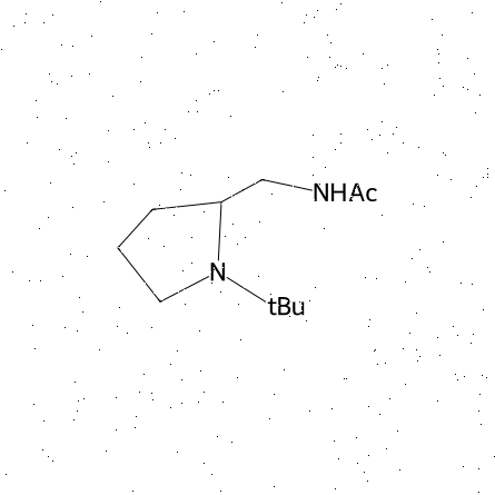 CC(=O)NCC1CCCN1C(C)(C)C